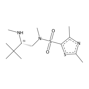 CN[C@H](CN(C)S(=O)(=O)c1sc(C)nc1C)C(C)(C)C